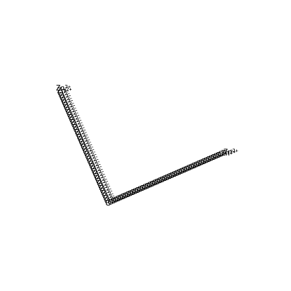 [O-2].[O-2].[O-2].[O-2].[O-2].[O-2].[O-2].[O-2].[O-2].[O-2].[O-2].[O-2].[O-2].[O-2].[O-2].[O-2].[O-2].[O-2].[O-2].[O-2].[O-2].[O-2].[O-2].[O-2].[O-2].[O-2].[O-2].[O-2].[O-2].[O-2].[O-2].[O-2].[O-2].[O-2].[O-2].[O-2].[O-2].[O-2].[O-2].[O-2].[O-2].[O-2].[O-2].[O-2].[O-2].[O-2].[O-2].[O-2].[O-2].[O-2].[O-2].[O-2].[O-2].[O-2].[O-2].[O-2].[O-2].[O-2].[O-2].[O-2].[O-2].[O-2].[O-2].[O-2].[O-2].[O-2].[O-2].[O-2].[O-2].[O-2].[O-2].[O-2].[O-2].[O-2].[O-2].[O-2].[O-2].[O-2].[O-2].[O-2].[O-2].[O-2].[O-2].[O-2].[O-2].[O-2].[O-2].[O-2].[O-2].[O-2].[O-2].[O-2].[Zn+2].[Zn+2].[Zn+2].[Zn+2]